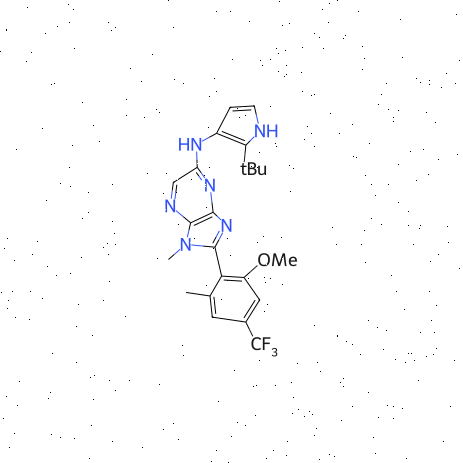 COc1cc(C(F)(F)F)cc(C)c1-c1nc2nc(Nc3cc[nH]c3C(C)(C)C)cnc2n1C